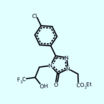 CCOC(=O)Cn1nc(-c2ccc(Cl)cc2)n(CC(O)C(F)(F)F)c1=O